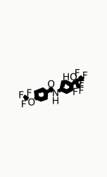 O=C(Nc1ccc(C(O)(C(F)(F)F)C(F)(F)F)cc1)c1ccc(OC(F)(F)F)cc1